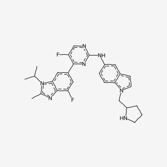 Cc1nc2c(F)cc(-c3nc(Nc4ccc5c(ccn5CC5CCCN5)c4)ncc3F)cc2n1C(C)C